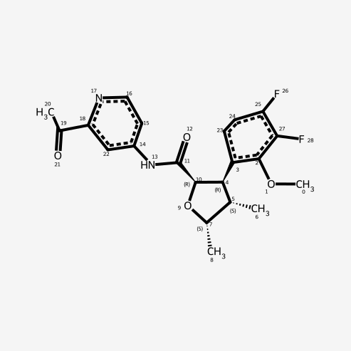 COc1c([C@H]2[C@H](C)[C@H](C)O[C@H]2C(=O)Nc2ccnc(C(C)=O)c2)ccc(F)c1F